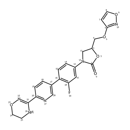 O=C1OC(COc2ccon2)CN1c1ccc(-c2ccc(C3=NOCCN3)nc2)c(F)c1